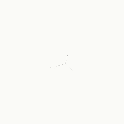 [Ag][CH](I)I